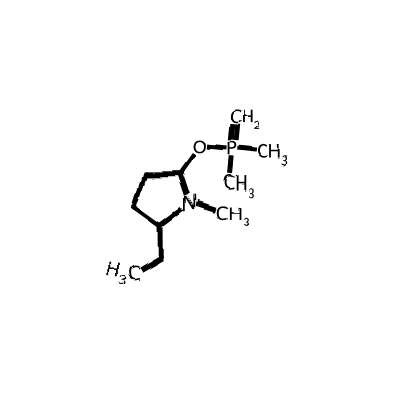 C=P(C)(C)OC1CCC(CC)N1C